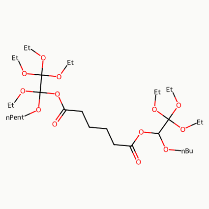 CCCCCOC(OCC)(OC(=O)CCCCC(=O)OC(OCCCC)C(OCC)(OCC)OCC)C(OCC)(OCC)OCC